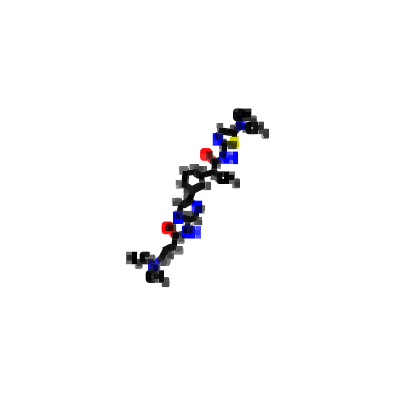 CC(C(=O)Nc1ncc(N(C)C)s1)c1cccc(-c2cnc(NC(=O)/C=C/CN(C)C)cn2)c1